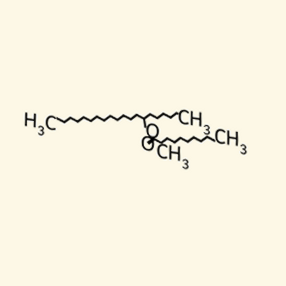 CCCCCCCCCCCCCCC(CCCCCC)COC(=O)C(C)CCCCCCCCC